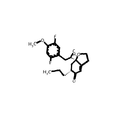 CCC[C@@H]1C[C@@]2(C(C)Cc3cc(F)c(OC)cc3F)OCCC2=CC1=O